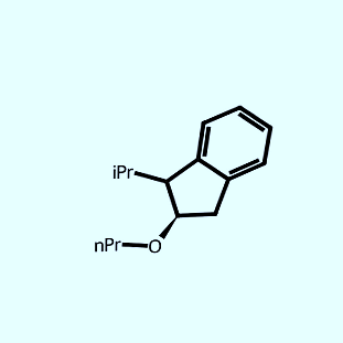 CCCO[C@@H]1Cc2ccccc2C1C(C)C